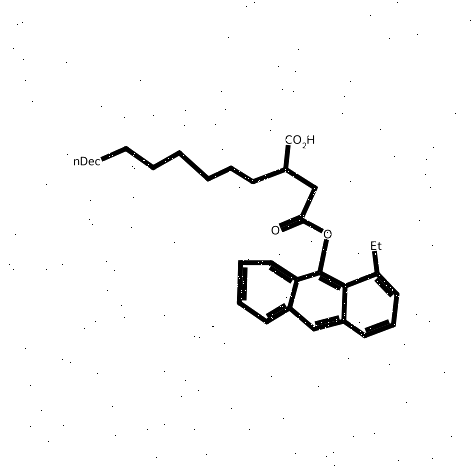 CCCCCCCCCCCCCCCCC(CC(=O)Oc1c2ccccc2cc2cccc(CC)c12)C(=O)O